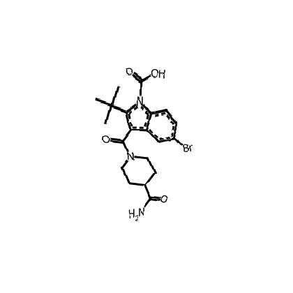 CC(C)(C)c1c(C(=O)N2CCC(C(N)=O)CC2)c2cc(Br)ccc2n1C(=O)O